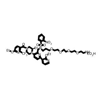 CCOc1ccc(C(=O)N2CCN(c3ccc(-c4cccnc4OCC)nc3CN(CCCOCCOCCOCCOCCNC(=O)O)S(=O)(=O)c3ccccc3[N+](=O)[O-])[C@H](CC)C2)c(C(F)(F)F)n1